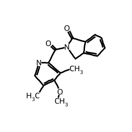 COc1c(C)cnc(C(=O)N2Cc3ccccc3C2=O)c1C